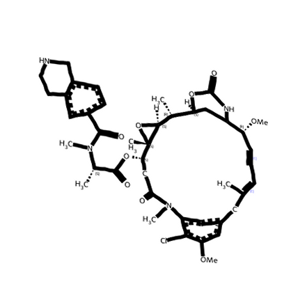 COc1cc2cc(c1Cl)N(C)C(=O)C[C@H](OC(=O)[C@H](C)N(C)C(=O)c1ccc3c(c1)CCNC3)[C@]1(C)O[C@H]1[C@H](C)[C@@H]1CC(NC(=O)O1)[C@H](OC)/C=C/C=C(\C)C2